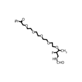 CC(C)C(=O)COCCOCCOCCOCCOC(C)C(F)CNC=O